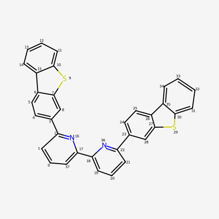 c1cc(-c2ccc3c(c2)sc2ccccc23)nc(-c2cccc(-c3ccc4c(c3)sc3ccccc34)n2)c1